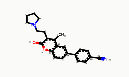 Cc1c(CCN2CCCC2)c(=O)oc2ccc(-c3ccc(C#N)cc3)cc12